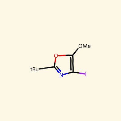 COc1oc(C(C)(C)C)nc1I